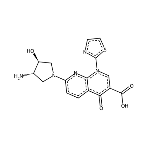 N[C@H]1CN(c2ccc3c(=O)c(C(=O)O)cn(-c4nccs4)c3n2)C[C@@H]1O